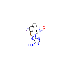 C=C(Sc1nc2c(N)ncnc2n1CCNC=O)/C(I)=C\C1=CCCC1